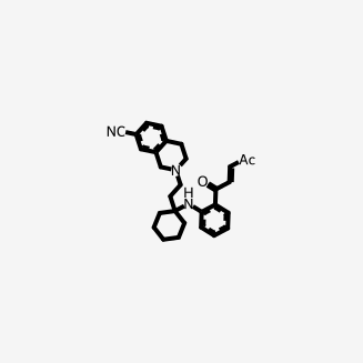 CC(=O)C=CC(=O)c1ccccc1NC1(CCN2CCc3ccc(C#N)cc3C2)CCCCC1